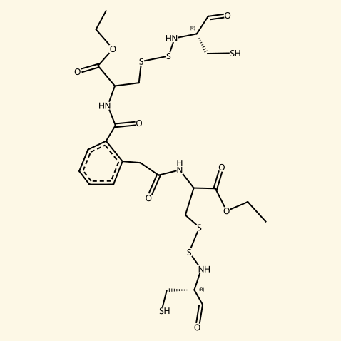 CCOC(=O)C(CSSN[C@H](C=O)CS)NC(=O)Cc1ccccc1C(=O)NC(CSSN[C@H](C=O)CS)C(=O)OCC